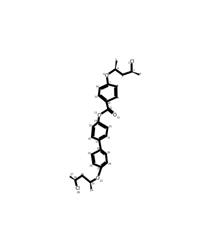 C[C@H](Cl)C[C@H](C)Oc1ccc(C(=O)Oc2ccc(-c3ccc(O[C@@H](C)C[C@H](C)Cl)cc3)cc2)cc1